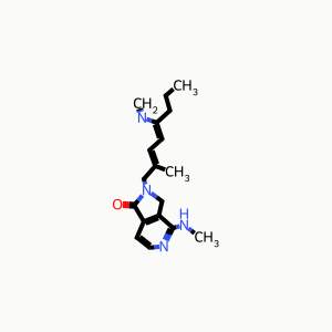 C=N/C(=C\C=C(/C)CN1Cc2c(ccnc2NC)C1=O)CCC